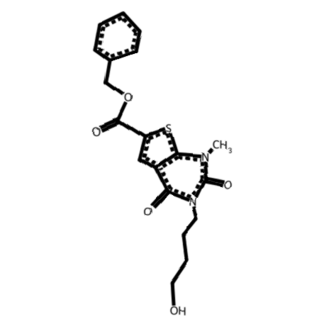 Cn1c(=O)n(CCCCO)c(=O)c2cc(C(=O)OCc3ccccc3)sc21